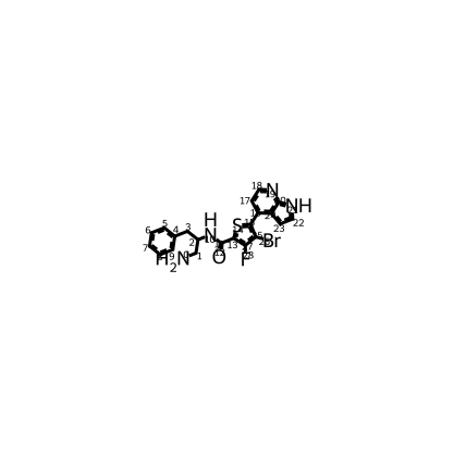 NCC(Cc1ccccc1)NC(=O)c1sc(-c2ccnc3[nH]ccc23)c(Br)c1F